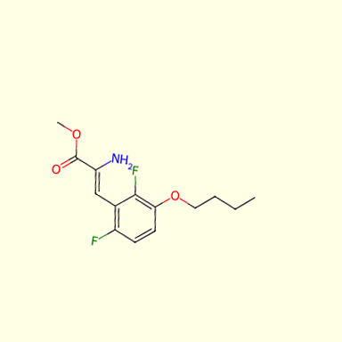 CCCCOc1ccc(F)c(/C=C(\N)C(=O)OC)c1F